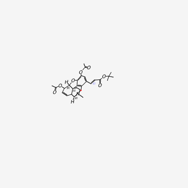 CC(=O)Oc1cc(/C=C/C(=O)OC(C)(C)C)c2c3c1O[C@H]1C(OC(C)=O)C=CC4[C@@H](C2)N(C)CC[C@@]341